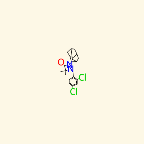 CC1(C)C(=O)N(C2C3CC4CC(C3)CC2C4)N1Cc1ccc(Cl)cc1Cl